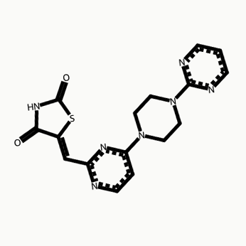 O=C1NC(=O)C(=Cc2nccc(N3CCN(c4ncccn4)CC3)n2)S1